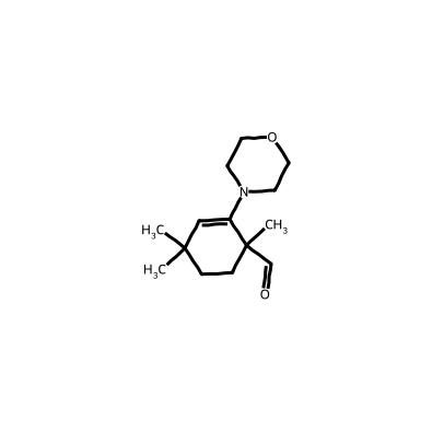 CC1(C)C=C(N2CCOCC2)C(C)(C=O)CC1